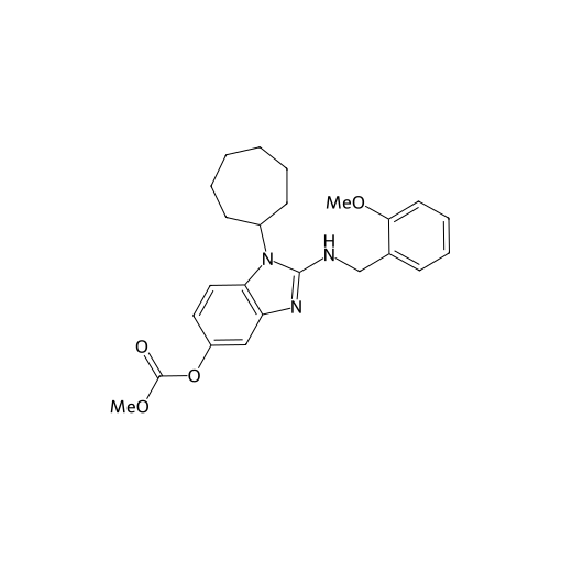 COC(=O)Oc1ccc2c(c1)nc(NCc1ccccc1OC)n2C1CCCCCC1